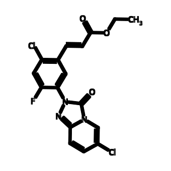 CCOC(=O)C=Cc1cc(-n2nc3ccc(Cl)cn3c2=O)c(F)cc1Cl